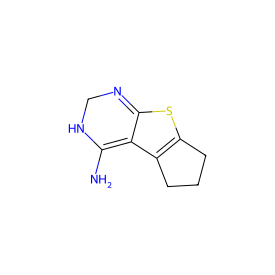 NC1=c2c3c(sc2=NCN1)CCC3